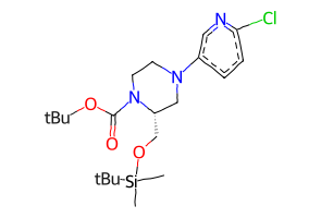 CC(C)(C)OC(=O)N1CCN(c2ccc(Cl)nc2)C[C@@H]1CO[Si](C)(C)C(C)(C)C